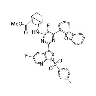 COC(=O)C1C2CCC(CC2)C1Nc1nc(-c2cn(S(=O)(=O)c3ccc(C)cc3)c3ncc(F)cc23)nc(-c2cccc3c2oc2ccccc23)c1F